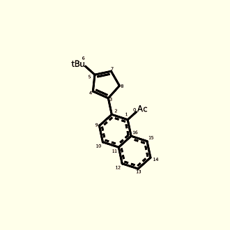 CC(=O)c1c(C2=CC(C(C)(C)C)=CC2)ccc2ccccc12